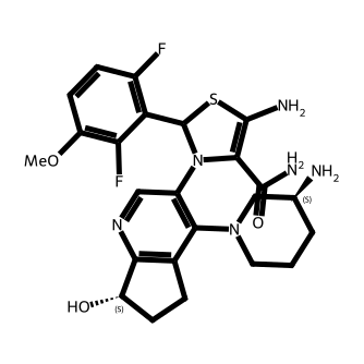 COc1ccc(F)c(C2SC(N)=C(C(N)=O)N2c2cnc3c(c2N2CCC[C@H](N)C2)CC[C@@H]3O)c1F